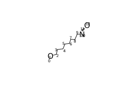 COCCCCCCCCN=C=O